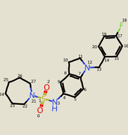 O=S(=O)(Nc1ccc2c(c1)CCN2Cc1ccc(F)cc1)N1CCCCCC1